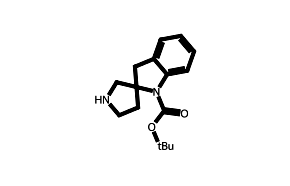 CC(C)(C)OC(=O)N1c2ccccc2CC12CCNC2